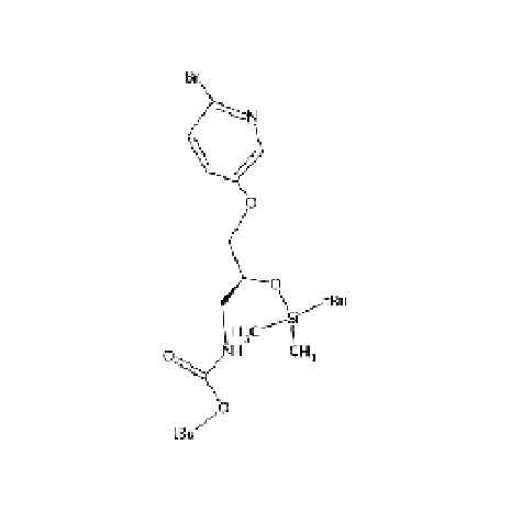 CC(C)(C)OC(=O)NC[C@@H](COc1ccc(Br)nc1)O[Si](C)(C)C(C)(C)C